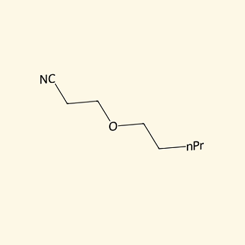 CCCCCOCCC#N